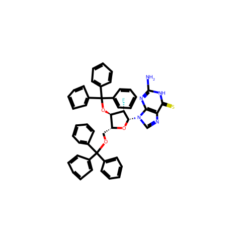 Nc1nc2c(ncn2[C@@H]2O[C@H](COC(c3ccccc3)(c3ccccc3)c3ccccc3)[C@@H](OC(c3ccccc3)(c3ccccc3)c3ccccc3)[C@@H]2F)c(=S)[nH]1